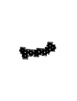 c1cnc2c(-c3ccc4ccc(-c5ccc6nc(-c7ccc(-c8cc9cccnc9c9ncccc89)cc7)ccc6c5)cc4n3)cccc2c1